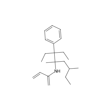 C=CC(=C)NC(C)(CC(C)CC)C(CC)(CC)c1ccccc1